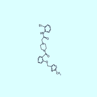 CCc1ccccc1NC(=O)CN1CCN(C(=O)c2ccccc2OCc2csc(C)n2)CC1